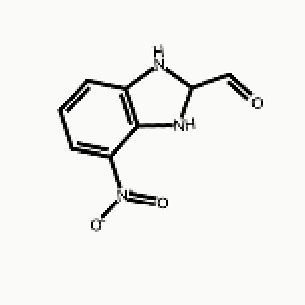 O=CC1Nc2cccc([N+](=O)[O-])c2N1